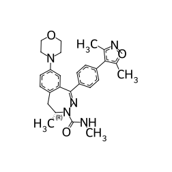 CNC(=O)N1N=C(c2ccc(-c3c(C)noc3C)cc2)c2cc(N3CCOCC3)ccc2C[C@H]1C